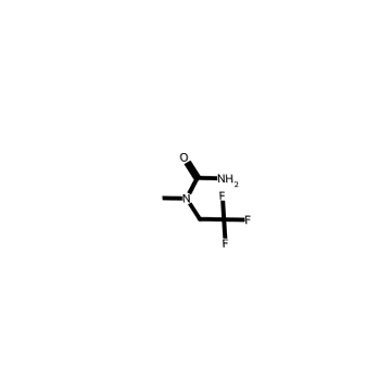 CN(CC(F)(F)F)C(N)=O